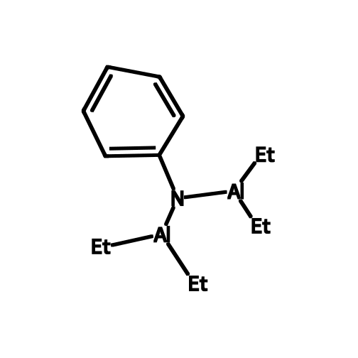 C[CH2][Al]([CH2]C)[N](c1ccccc1)[Al]([CH2]C)[CH2]C